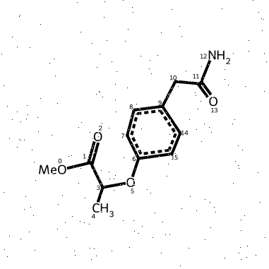 COC(=O)C(C)Oc1ccc(CC(N)=O)cc1